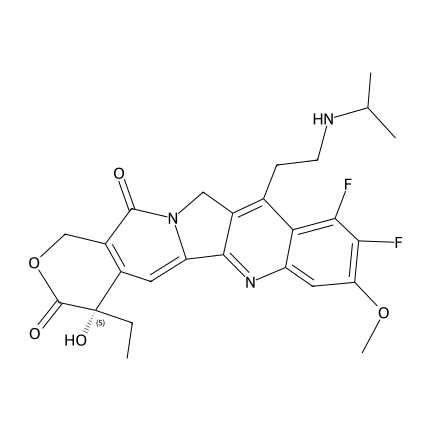 CC[C@@]1(O)C(=O)OCc2c1cc1n(c2=O)Cc2c-1nc1cc(OC)c(F)c(F)c1c2CCNC(C)C